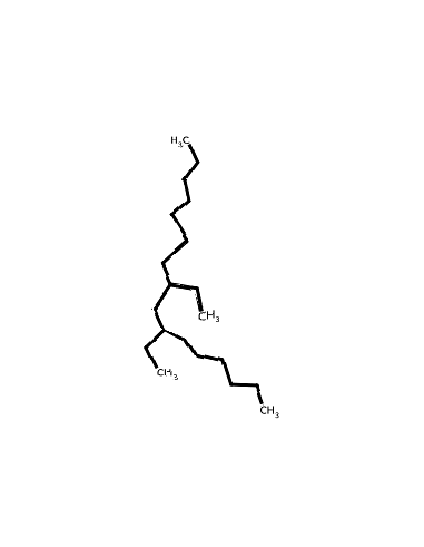 CCCCCCCC([CH]C(CC)CCCCCC)CC